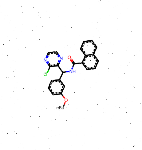 CCCCOc1cccc(C(NC(=O)c2cccc3ccccc23)c2nccnc2Cl)c1